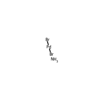 N.[Br][Pd][Br]